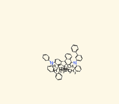 C[Si](C)(C)C1([Si](C)(C)C)c2cc(N(c3ccccc3)c3cccc(-c4ccccc4)c3)ccc2-c2c1cc(N(c1ccccc1)c1cccc(-c3ccccc3)c1)c1ccccc21